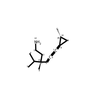 CC(C)[C@@](C)(C=C=C=C1C[C@H]1C)CCN